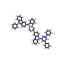 C1=CC2C(C=C1c1ccc3c(c1)c1ccccc1n3-c1cc(-c3ccccc3)cc(-c3ccccc3)n1)c1ccccc1N2c1ccc2c(c1)c1ccccc1n2-c1ccccc1